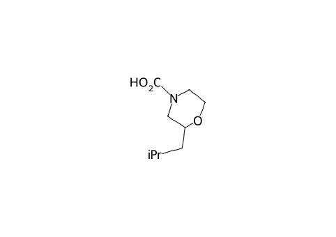 CC(C)CC1CN(C(=O)O)CCO1